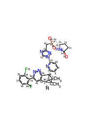 CC1(C)[C@H]2CC[C@]1(c1cccc(-n3cnc(CS(=O)(=O)C[C@@H]4CCC(=O)N4)n3)n1)c1nnc(-c3c(F)cccc3F)cc12